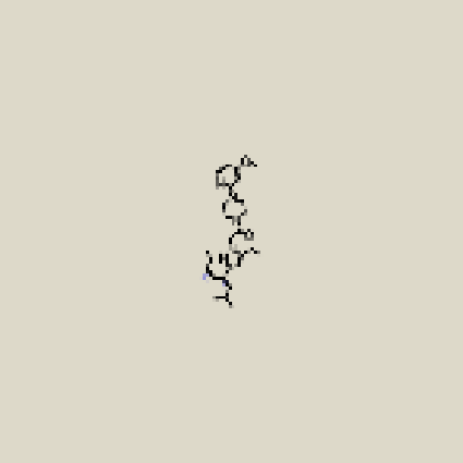 C=C(C)/C=C(\C=C/CC)c1cc(CC)n(CC(=O)N2CCN(c3cc(OC)ccn3)CC2)n1